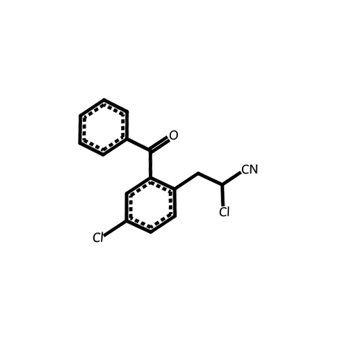 N#CC(Cl)Cc1ccc(Cl)cc1C(=O)c1ccccc1